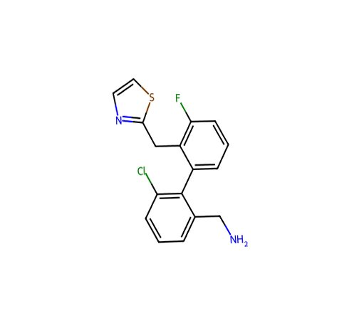 NCc1cccc(Cl)c1-c1cccc(F)c1Cc1nccs1